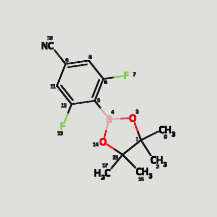 CC1(C)OB(c2c(F)cc(C#N)cc2F)OC1(C)C